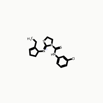 CCC1=CCCC1/N=C1\SCCN1C(=S)Nc1cccc(Cl)c1